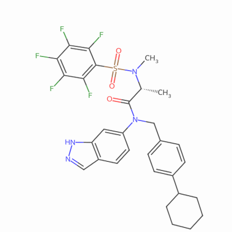 C[C@H](C(=O)N(Cc1ccc(C2CCCCC2)cc1)c1ccc2cn[nH]c2c1)N(C)S(=O)(=O)c1c(F)c(F)c(F)c(F)c1F